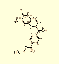 CCOC(=O)c1ccc(C(O)c2ccc3[nH]c(=O)c(C)cc3c2)cc1